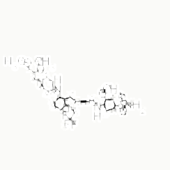 COCC(CN1CCC(Nc2cccc3c2cc(C#CCNc2ccc(S(N)(=O)=O)cc2OC)n3CC(F)(F)F)CC1)OC